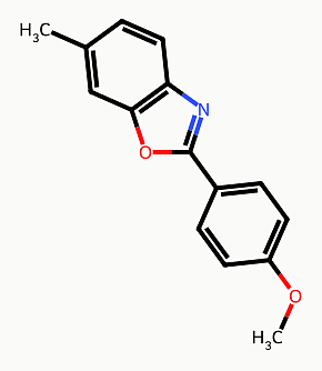 COc1ccc(-c2nc3ccc(C)cc3o2)cc1